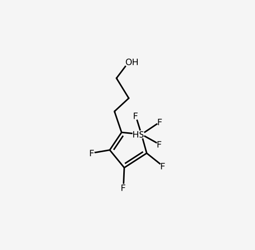 OCCCC1=C(F)C(F)=C(F)[SH]1(F)(F)F